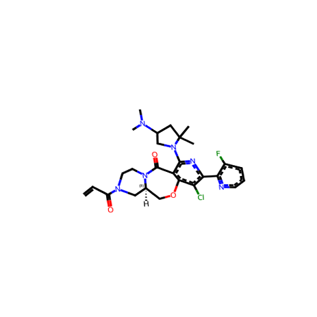 C=CC(=O)N1CCN2C(=O)c3c(N4CC(N(C)C)CC4(C)C)nc(-c4ncccc4F)c(Cl)c3OC[C@H]2C1